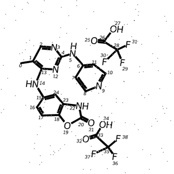 Cc1cnc(Nc2ccncc2)nc1Nc1ccc2oc(=O)[nH]c2c1.O=C(O)C(F)(F)F.O=C(O)C(F)(F)F